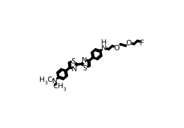 CN(C)c1ccc(-c2csc(-c3nc(-c4ccc(NCCOCCOCCF)cc4)cs3)n2)cc1